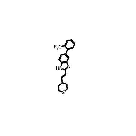 FC(F)(F)c1ccccc1-c1ccc2[nH]c(C=CC3CCSCC3)nc2c1